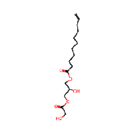 C=CCCCCCCCCC(=O)OCC(O)COC(=O)CO